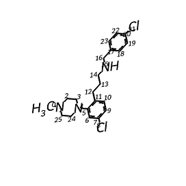 CN1CCN(c2cc(Cl)ccc2CCCNCc2ccc(Cl)cc2)CC1